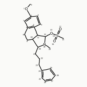 COc1ccc2c(c1)CCC1C2C(OS(C)(=O)=O)N(C)C1CCCc1ccccc1